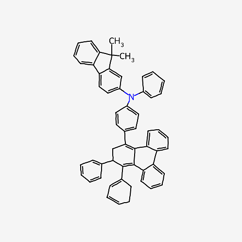 CC1(C)c2ccccc2-c2ccc(N(c3ccccc3)c3ccc(C4=c5c(c6ccccc6c6ccccc56)=C(C5=CC=CCC5)C(c5ccccc5)C4)cc3)cc21